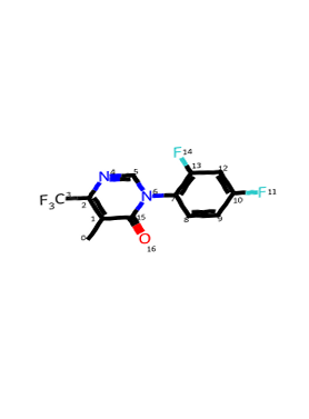 Cc1c(C(F)(F)F)ncn(-c2ccc(F)cc2F)c1=O